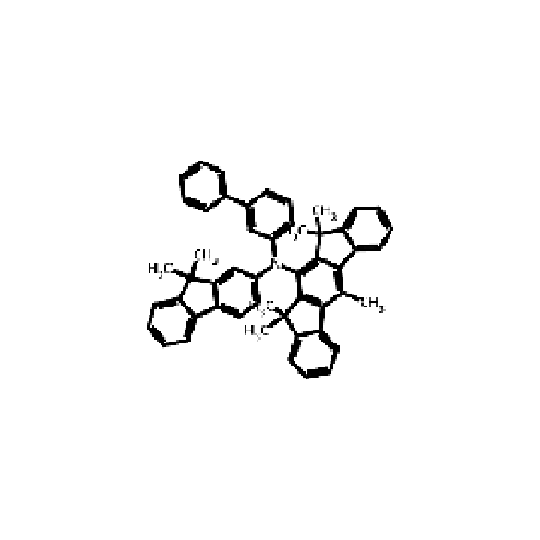 Cc1c2c(c(N(c3cccc(-c4ccccc4)c3)c3ccc4c(c3)C(C)(C)c3ccccc3-4)c3c1-c1ccccc1C3(C)C)C(C)(C)c1ccccc1-2